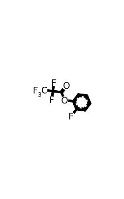 O=C(Oc1ccccc1F)C(F)(F)C(F)(F)F